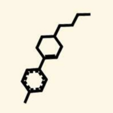 CCCCC1CC=C(c2ccc(C)cc2)CC1